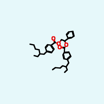 CCCCC(CC)Cc1ccc(C(=O)OCC(OC(=O)c2ccc(CC(CC)CCCC)cc2)c2ccccc2)cc1